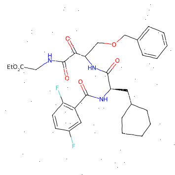 CCOC(=O)CNC(=O)C(=O)C(COCc1ccccc1)NC(=O)[C@@H](CC1CCCCC1)NC(=O)c1cc(F)ccc1F